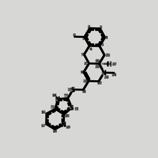 Cc1cccc2c1CC1C=C(CSc3nc4cccnc4s3)CN(C)[C@@H]1C2